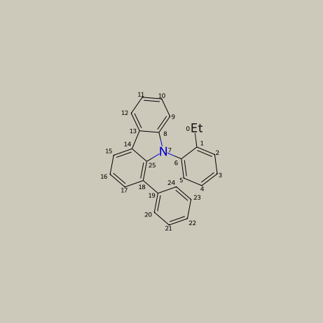 CCc1ccccc1-n1c2ccccc2c2cccc(-c3ccccc3)c21